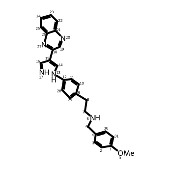 COc1ccc(CNCCc2ccc(N/C=C(\C=N)c3cnc4ccccc4n3)cc2)cc1